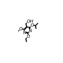 CCOc1nc(OC)c(CO)c(OC(C)C)n1